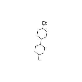 [CH2]C1CCC(C2CCC(CC)CC2)CC1